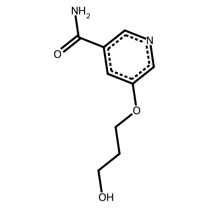 NC(=O)c1cncc(OCCCO)c1